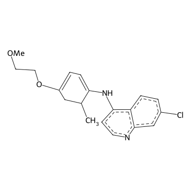 COCCOC1=CC=C(Nc2ccnc3cc(Cl)ccc23)C(C)C1